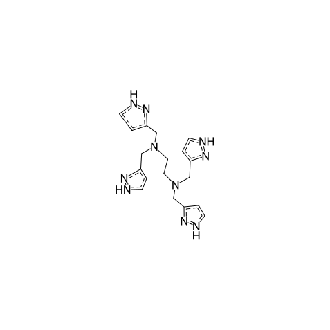 c1cc(CN(CCN(Cc2cc[nH]n2)Cc2cc[nH]n2)Cc2cc[nH]n2)n[nH]1